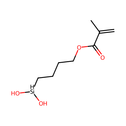 C=C(C)C(=O)OCCCC[SiH](O)O